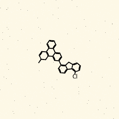 CC1C=Cc2c(c3cc(-c4cccc5c4Cc4cccc(Cl)c4-5)ccc3c3ccccc23)C1